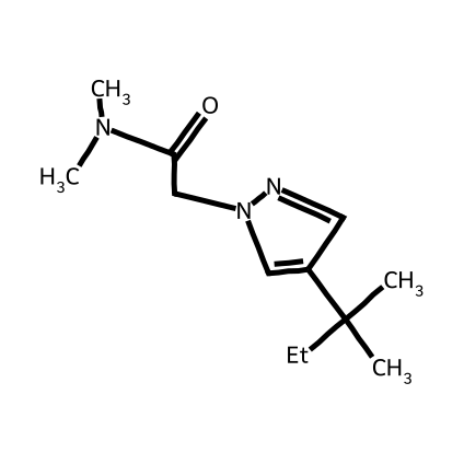 CCC(C)(C)c1cnn(CC(=O)N(C)C)c1